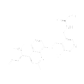 C=C/C=C(/c1cc(C)nc2c(OCc3c(Cl)cncc3CNC(=O)C(C)CC)cccc12)N(C)C